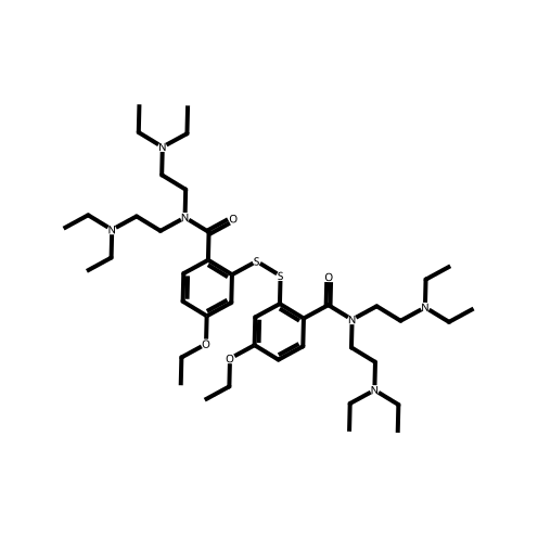 CCOc1ccc(C(=O)N(CCN(CC)CC)CCN(CC)CC)c(SSc2cc(OCC)ccc2C(=O)N(CCN(CC)CC)CCN(CC)CC)c1